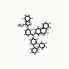 CC(C)(C)c1c(-c2cccc(N(c3ccc(-c4ccccc4-c4ccccc4)cc3)c3ccc4c(ccc5ccccc54)c3)c2)oc2ccccc12